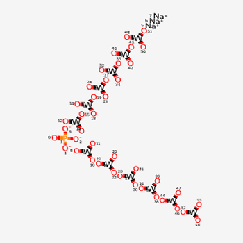 O=P([O-])([O-])[O-].[Na+].[Na+].[Na+].[O]=[W](=[O])=[O].[O]=[W](=[O])=[O].[O]=[W](=[O])=[O].[O]=[W](=[O])=[O].[O]=[W](=[O])=[O].[O]=[W](=[O])=[O].[O]=[W](=[O])=[O].[O]=[W](=[O])=[O].[O]=[W](=[O])=[O].[O]=[W](=[O])=[O].[O]=[W](=[O])=[O].[O]=[W](=[O])=[O]